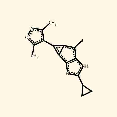 Cc1noc(C)c1-c1c2c(I)c3[nH]c(C4CC4)nc3c1-2